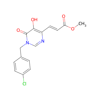 COC(=O)C=Cc1ncn(Cc2ccc(Cl)cc2)c(=O)c1O